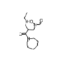 CCCCC(CN(O)C=O)C(=O)N1CCCCCC1